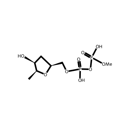 COP(=O)(O)OP(=O)(O)OC[C@@H]1C[C@H](O)[C@H](C)O1